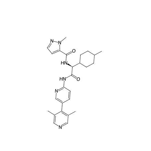 Cc1cncc(C)c1-c1ccc(NC(=O)[C@@H](NC(=O)c2ccnn2C)C2CCC(C)CC2)nc1